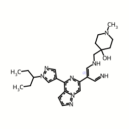 CCC(CC)n1cc(-c2nc(/C(C=N)=C/NCC3(O)CCN(C)CC3)cn3nccc23)cn1